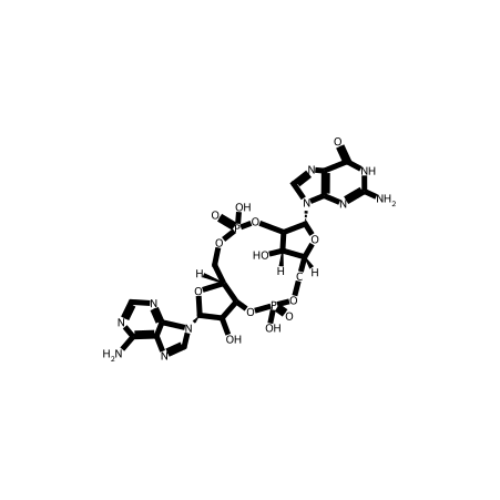 Nc1nc2c(ncn2[C@@H]2O[C@@H]3COP(=O)(O)OC4C(O)[C@H](n5cnc6c(N)ncnc65)O[C@@H]4COP(=O)(O)OC2[C@H]3O)c(=O)[nH]1